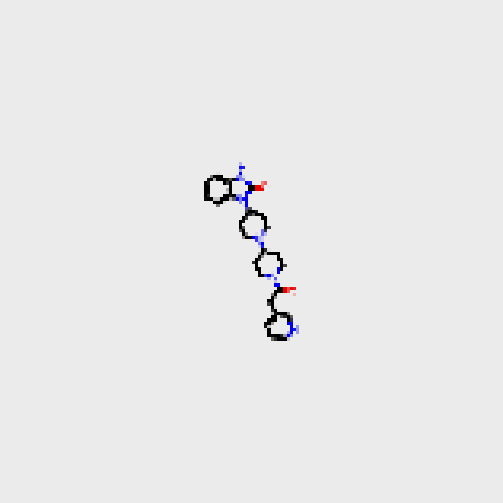 O=C(Cc1cccnc1)N1CCC(N2CCC(n3c(=O)[nH]c4ccccc43)CC2)CC1